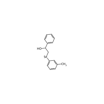 Cc1cccc([Se]CC(O)c2ccccc2)c1